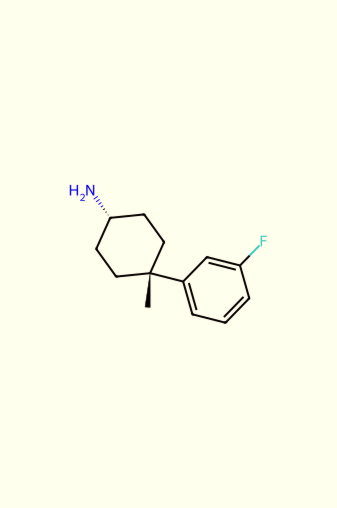 C[C@]1(c2cccc(F)c2)CC[C@@H](N)CC1